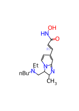 CCCCN(CC)CC1C(C)N=C2C=C(/C=C/C(=O)NO)C=CN21